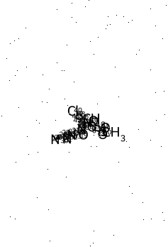 CN(C(=O)Oc1ccc(S(C)(=O)=O)cc1)[C@@H]1CN(C(=O)C2CCN(c3ccc(C#N)cn3)CC2)C[C@H]1c1ccc(Cl)cc1